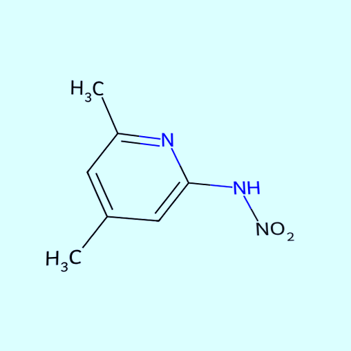 Cc1cc(C)nc(N[N+](=O)[O-])c1